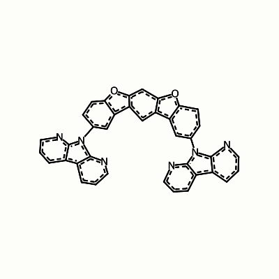 c1cnc2c(c1)c1cccnc1n2-c1ccc2oc3cc4oc5ccc(-n6c7ncccc7c7cccnc76)cc5c4cc3c2c1